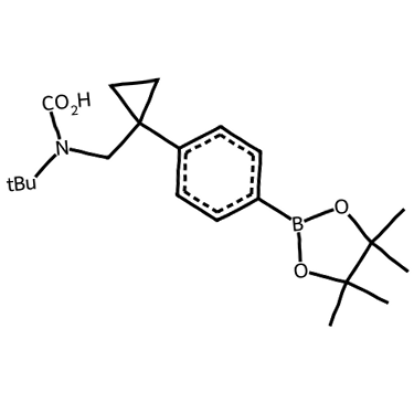 CC(C)(C)N(CC1(c2ccc(B3OC(C)(C)C(C)(C)O3)cc2)CC1)C(=O)O